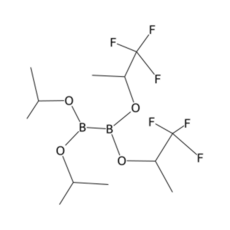 CC(C)OB(OC(C)C)B(OC(C)C(F)(F)F)OC(C)C(F)(F)F